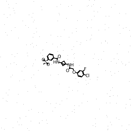 CS(=O)(=O)c1cccc(C(=O)NC23CC(NC(=O)COc4ccc(Cl)c(F)c4)(C2)C3)c1